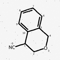 N#CC1COCc2ccccc21